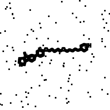 Cn1c2ccncc2c2ccc(-c3ccc(OCCCCCOCCCCCC4CCNCC4)nc3)cc21